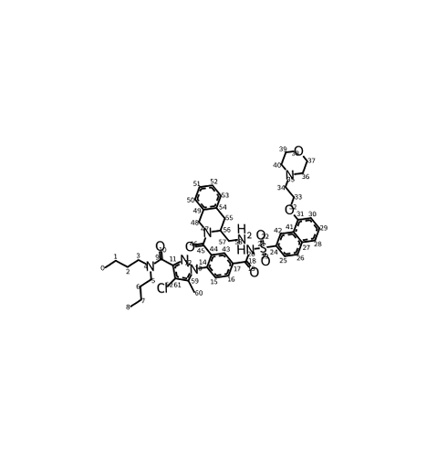 CCCCN(CCCC)C(=O)c1nn(-c2ccc(C(=O)NS(=O)(=O)c3ccc4cccc(OCCN5CCOCC5)c4c3)cc2C(=O)N2Cc3ccccc3CC2CN)c(C)c1Cl